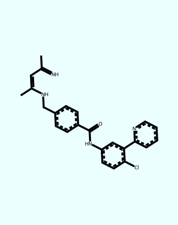 CC(=N)/C=C(/C)NCc1ccc(C(=O)Nc2ccc(Cl)c(-c3ccccn3)c2)cc1